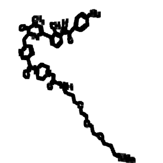 CNCCCOCCOCCOCCCNC(=O)CN1CCN(C(=O)c2ccc(Cc3nc(-c4cccc(NC(=O)c5ccc(C(C)(C)C)cc5)c4C)cn(C)c3=O)nc2)CC1